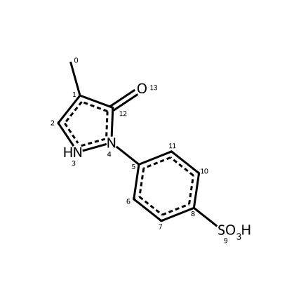 Cc1c[nH]n(-c2ccc(S(=O)(=O)O)cc2)c1=O